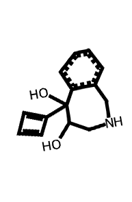 OC1CNCc2ccccc2C1(O)C1=CC=C1